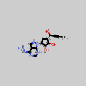 CC#CC(O)[C@H]1C[C@@H](n2ncc3/c(=N\N)nc[nH]c32)[C@H](O)[C@@H]1O